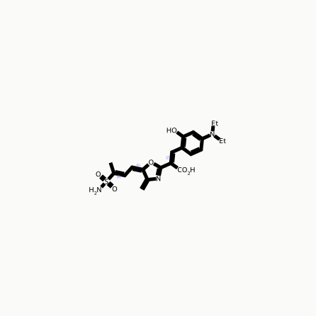 C=c1nc(/C(=C/c2ccc(N(CC)CC)cc2O)C(=O)O)o/c1=C/C=C(\C)S(N)(=O)=O